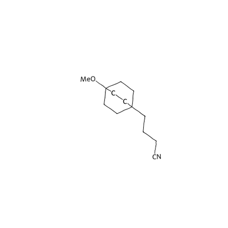 COC12CCC(CCCC#N)(CC1)CC2